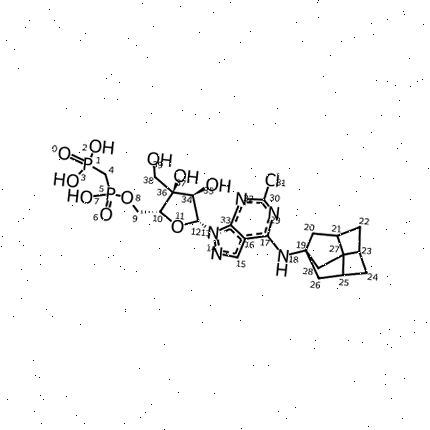 O=P(O)(O)CP(=O)(O)OC[C@H]1O[C@@H](n2ncc3c(NC45CC6CC7CC(C4)C76C5)nc(Cl)nc32)[C@H](O)[C@@]1(O)CO